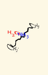 N.O.[CH2]CCCCCCCCCCC